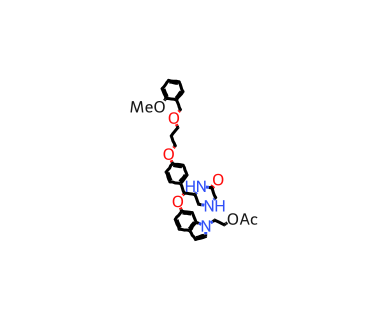 COc1ccccc1COCCCOc1ccc(C(Oc2ccc3ccn(CCOC(C)=O)c3c2)C2CNCC(=O)N2)cc1